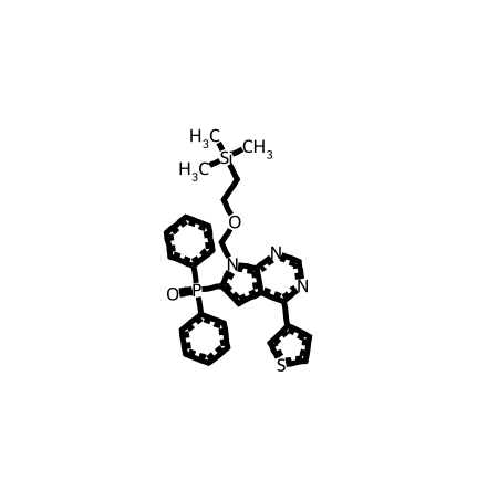 C[Si](C)(C)CCOCn1c(P(=O)(c2ccccc2)c2ccccc2)cc2c(-c3ccsc3)ncnc21